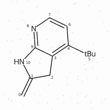 C=C1Cc2c(C(C)(C)C)ccnc2N1